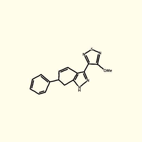 COc1nsnc1-c1n[nH]c2c1C=CC(c1ccccc1)C2